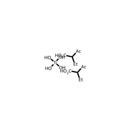 CCC(C(C)=O)C(=O)O.CCC(C(C)=O)C(=O)O.[OH][Ti]([OH])([OH])[OH]